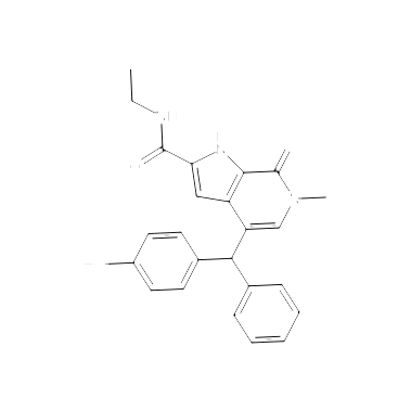 CCNC(=O)c1cc2c(C(c3ccccc3)c3ccc(O)cc3)cn(C)c(=O)c2[nH]1